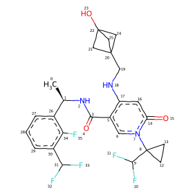 C[C@@H](NC(=O)c1cn(C2(C(F)F)CC2)c(=O)cc1NCC12CC(O)(C1)C2)c1cccc(C(F)F)c1F